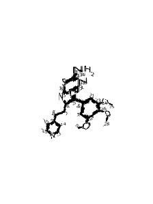 COc1cc(-c2c(CCc3ccncc3)nc3sc(N)nn23)cc(OC)c1OC